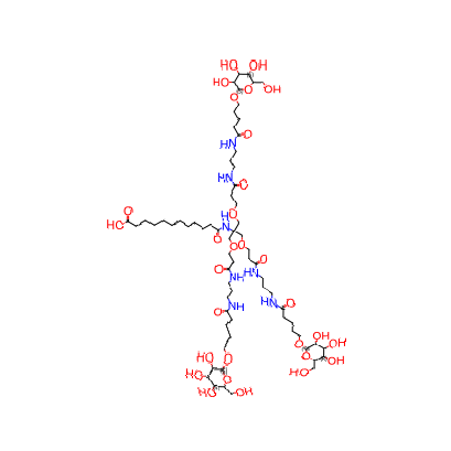 O=C(O)CCCCCCCCCCC(=O)NC(COCCC(=O)NCCCNC(=O)CCCCO[C@H]1OC(CO)[C@@H](O)C(O)C1O)(COCCC(=O)NCCCNC(=O)CCCCO[C@H]1OC(CO)[C@@H](O)C(O)C1O)COCCC(=O)NCCCNC(=O)CCCCO[C@H]1OC(CO)[C@H](O)C(O)C1O